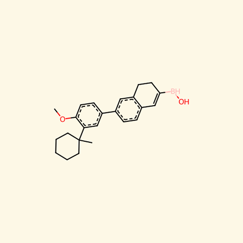 COc1ccc(-c2ccc3c(c2)CCC(BO)=C3)cc1C1(C)CCCCC1